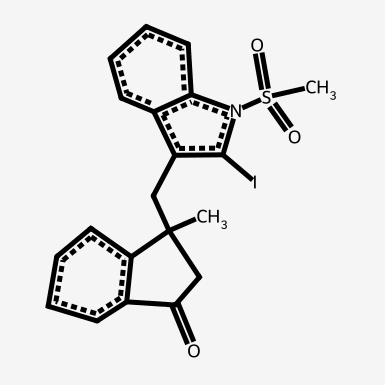 CC1(Cc2c(I)n(S(C)(=O)=O)c3ccccc23)CC(=O)c2ccccc21